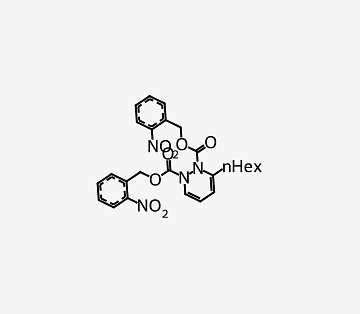 CCCCCCC1=CC=CN(C(=O)OCc2ccccc2[N+](=O)[O-])N1C(=O)OCc1ccccc1[N+](=O)[O-]